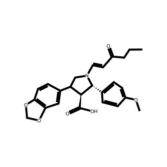 CCCC(=O)C=CN1CC(c2ccc3c(c2)OCO3)[C@H](C(=O)O)[C@H]1c1ccc(OC)cc1